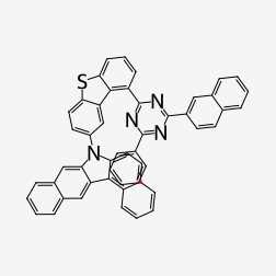 c1ccc(-c2nc(-c3ccc4ccccc4c3)nc(-c3cccc4sc5ccc(-n6c7cc8ccccc8cc7c7c8ccccc8ccc76)cc5c34)n2)cc1